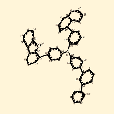 c1ccc(-c2cccc(-c3ccc(N(c4ccc(-c5cccc6c5oc5ccccc56)cc4)c4cccc(-c5cccc6ccccc56)c4)cc3)c2)cc1